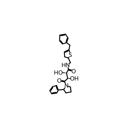 O=C(NCC1CC=C(Cc2ccccc2)S1)[C@H](O)[C@@H](O)C(=O)N1CCCC1c1ccccc1